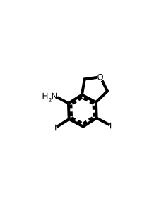 Nc1c(I)cc(I)c2c1COC2